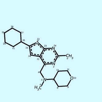 Cc1nc(CN(C)C2CCOCC2)c2cc(C3CCCCC3)sc2n1